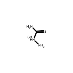 NNC(N)=S.[Gd]